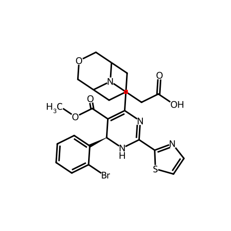 COC(=O)C1=C(CN2C3COCC2CC(CC(=O)O)C3)N=C(c2nccs2)N[C@H]1c1ccccc1Br